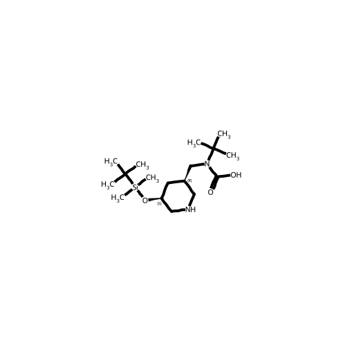 CC(C)(C)N(C[C@H]1CNC[C@@H](O[Si](C)(C)C(C)(C)C)C1)C(=O)O